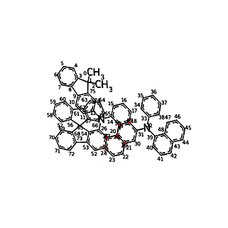 CC1(C)c2ccccc2-c2ccc(N(c3ccccc3-c3ccccc3)c3c(-c4ccc(N(c5ccccc5)c5cccc6ccccc56)cc4)ccc4c3C3(c5ccccc5-c5ccccc53)c3ccccc3-4)cc21